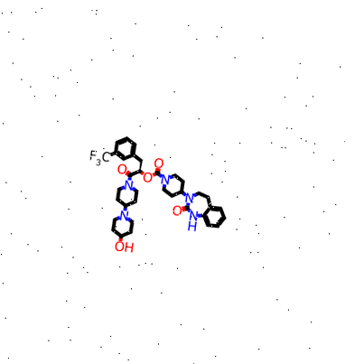 O=C(O[C@H](Cc1cccc(C(F)(F)F)c1)C(=O)N1CCC(N2CCC(O)CC2)CC1)N1CCC(N2CCc3ccccc3NC2=O)CC1